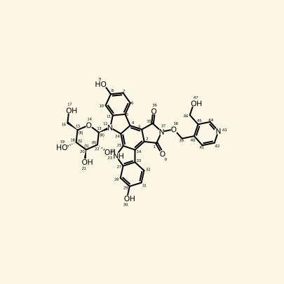 O=C1c2c(c3c4ccc(O)cc4n([C@@H]4O[C@H](CO)[C@@H](O)[C@H](O)[C@H]4O)c3c3[nH]c4cc(O)ccc4c23)C(=O)N1OCc1ccncc1CO